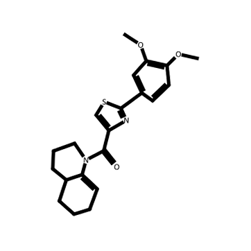 COc1ccc(-c2nc(C(=O)N3CCCC4CCCC=C43)cs2)cc1OC